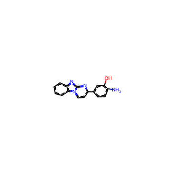 Nc1ccc(-c2ccn3c(n2)nc2ccccc23)cc1O